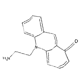 NCCn1c2cccc(=O)c-2cc2ccccc21